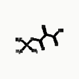 C[Si](C)(C)OC(=O)C(=O)C(=O)O